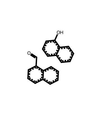 O=Cc1cccc2ccccc12.Oc1cccc2ccccc12